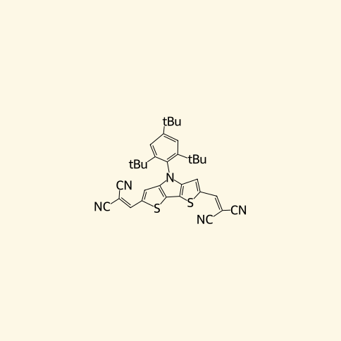 CC(C)(C)c1cc(C(C)(C)C)c(-n2c3cc(C=C(C#N)C#N)sc3c3sc(C=C(C#N)C#N)cc32)c(C(C)(C)C)c1